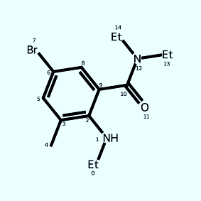 CCNc1c(C)cc(Br)cc1C(=O)N(CC)CC